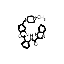 CN1CCN(Cc2ccc3oc(-c4ccccc4NC(=O)c4cnc5ccccc5n4)nc3c2)CC1